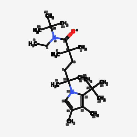 CCN(C(=O)C(C)(C)CCC(C)(C)n1cc(C)c(C)c1C(C)(C)C)C(C)(C)C